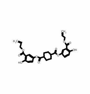 C=CCOC(=O)c1cc(OC(=O)C2CCC(C(=O)Oc3ccc(O)c(C(=O)OCC=C)c3)CC2)ccc1O